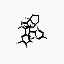 Cc1cnc2c(C(=O)N3[C@H]4CCC[C@@H]3c3nn(C)c(-c5cc(F)c(F)c(F)c5)c3C4)cnn2c1